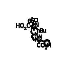 CCCCc1nc(S(C)(=O)=O)c(C(=O)O)n1Cc1ccn2c(C(=O)O)c(-c3ccccc3)nc2n1